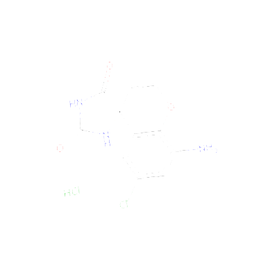 Cl.Nc1cc(Cl)cc2c1OCCC21NC(=O)NC1=O